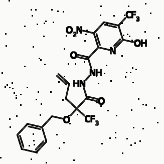 C=CCC(OCc1ccccc1)(C(=O)NNC(=O)c1nc(O)c(C(F)(F)F)cc1[N+](=O)[O-])C(F)(F)F